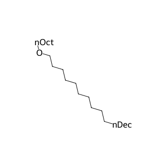 [CH2]CCCCCCCCCCCCCCCCCCCOCCCCCCC[CH2]